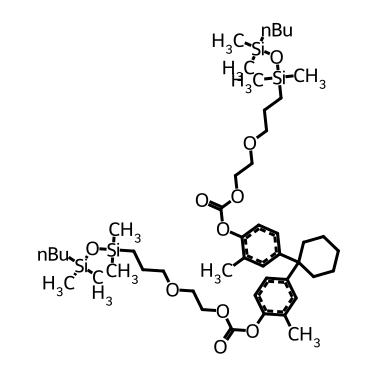 CCCC[Si](C)(C)O[Si](C)(C)CCCOCCOC(=O)Oc1ccc(C2(c3ccc(OC(=O)OCCOCCC[Si](C)(C)O[Si](C)(C)CCCC)c(C)c3)CCCCC2)cc1C